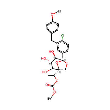 CCOc1ccc(Cc2cc([C@]34OC[C@](C(C)OC(=O)OC(C)C)(O3)C(O)[C@H](O)[C@H]4O)ccc2Cl)cc1